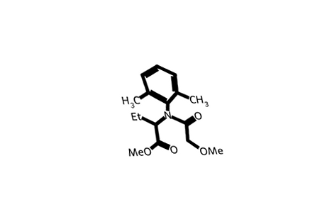 CCC(C(=O)OC)N(C(=O)COC)c1c(C)cccc1C